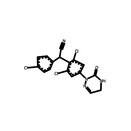 N#CC(c1ccc(Cl)cc1)c1c(Cl)cc(N2N=CCNC2=O)cc1Cl